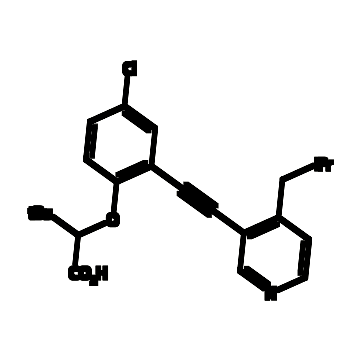 CC(C)Cc1ccncc1C#Cc1cc(Cl)ccc1OC(C(=O)O)C(C)(C)C